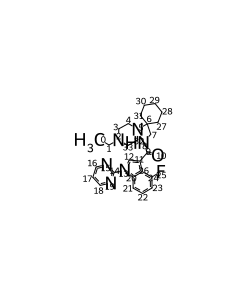 CCN1CCN(C2(CNC(=O)c3cn(-c4ncccn4)c4cccc(F)c34)CCCCC2)CC1